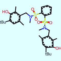 Cc1cc(C(C)(C)C)c(O)c(C)c1CN(C)S(=O)(=O)c1ccccc1S(=O)(=O)N(C)Cc1c(C)cc(C(C)(C)C)c(O)c1C